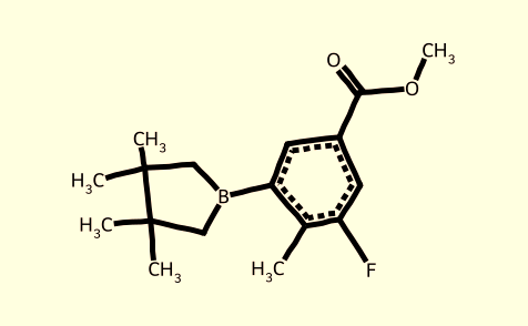 COC(=O)c1cc(F)c(C)c(B2CC(C)(C)C(C)(C)C2)c1